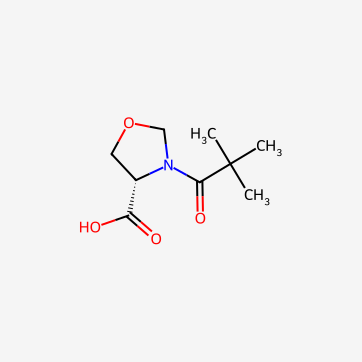 CC(C)(C)C(=O)N1COC[C@H]1C(=O)O